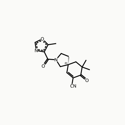 Cc1ocnc1C(=O)N1CC[C@]2(C=C(C#N)C(=O)C(C)(C)C2)C1